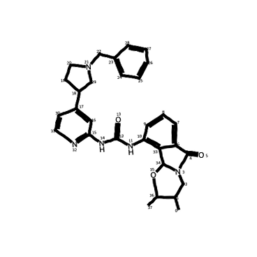 CC1CN2C(=O)c3cccc(NC(=O)Nc4cc(C5CCN(Cc6ccccc6)C5)ccn4)c3C2OC1C